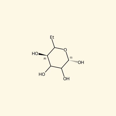 CCC1O[C@H](O)C(O)C(O)[C@H]1O